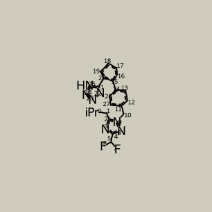 CC(C)Cc1nc(C(F)F)nn1Cc1ccc(-c2ccccc2-c2nnn[nH]2)cc1